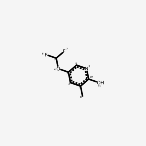 Cc1cc(OC(F)F)cnc1O